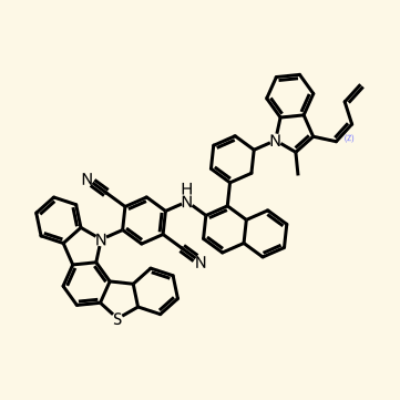 C=C/C=C\c1c(C)n(C2C=CC=C(C3=C(Nc4cc(C#N)c(-n5c6ccccc6c6ccc7c(c65)C5C=CC=CC5S7)cc4C#N)C=CC4C=CC=CC34)C2)c2ccccc12